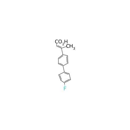 CC(=CC(=O)O)c1ccc(-c2ccc(F)cc2)cc1